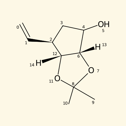 C=C[C@H]1CC(O)[C@@H]2OC(C)(C)O[C@H]12